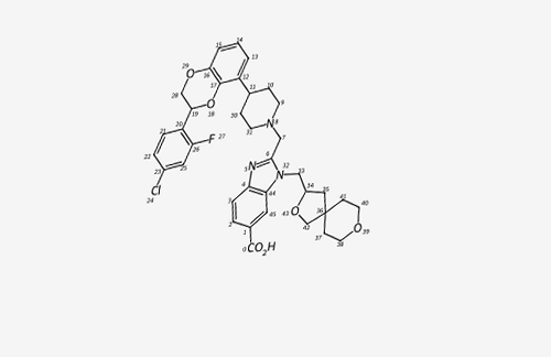 O=C(O)c1ccc2nc(CN3CCC(c4cccc5c4OC(c4ccc(Cl)cc4F)CO5)CC3)n(CC3CC4(CCOCC4)CO3)c2c1